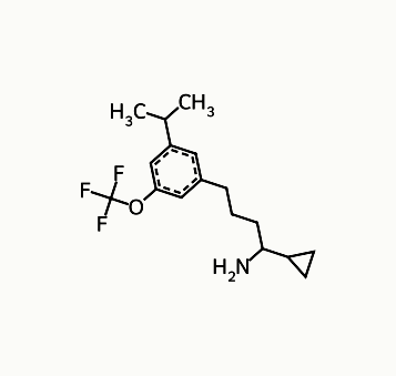 CC(C)c1cc(CCCC(N)C2CC2)cc(OC(F)(F)F)c1